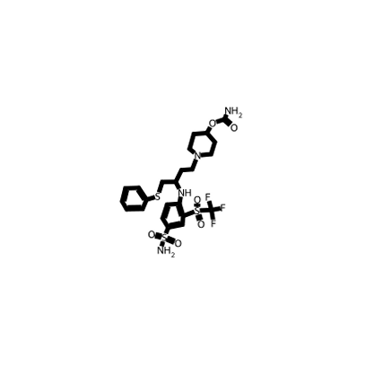 NC(=O)OC1CCN(CCC(CSc2ccccc2)Nc2ccc(S(N)(=O)=O)cc2S(=O)(=O)C(F)(F)F)CC1